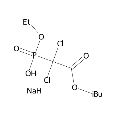 CCOP(=O)(O)C(Cl)(Cl)C(=O)OC(C)CC.[NaH]